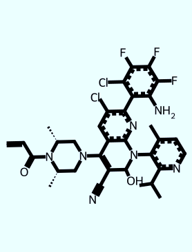 C=CC(=O)N1[C@H](C)CN(C2=C(C#N)C(O)N(c3c(C)ccnc3C(C)C)c3nc(-c4c(N)c(F)c(F)c(F)c4Cl)c(Cl)cc32)C[C@@H]1C